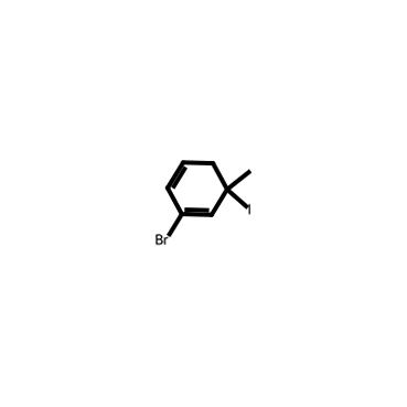 CC1(I)C=C(Br)C=CC1